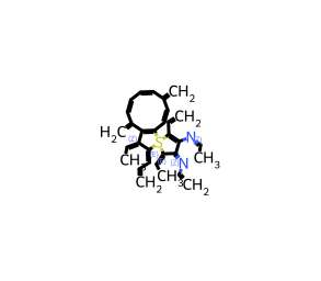 C=C/C=C1\C(=C/C)c2c(ccc(=C)ccccc2=C)S12C(C=C)=C(/N=C\C)C(=N/C=C)/C2=C\C